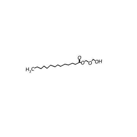 CCCCCCCCCCCCCC(=O)OCOCO